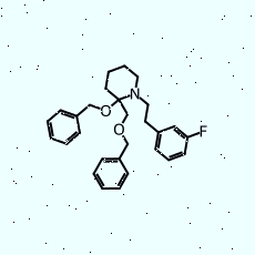 Fc1cccc(CCN2CCCCC2(COCc2ccccc2)OCc2ccccc2)c1